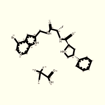 C[C@H](NC(=O)[C@H]1C[C@H](c2ccccc2)CN1)C(=O)NCc1cc2c(Br)cncc2[nH]1.O=C(O)C(F)(F)F